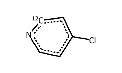 Clc1ccn[12cH]c1